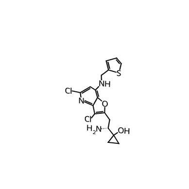 N[C@H](Cc1oc2c(NCc3cccs3)cc(Cl)nc2c1Cl)C1(O)CC1